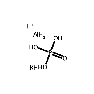 O=P(O)(O)O.[AlH3].[H+].[KH]